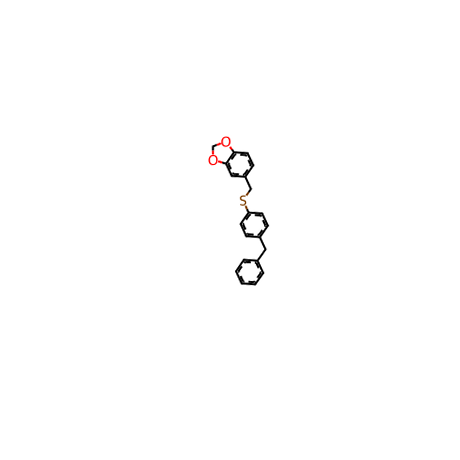 c1ccc(Cc2ccc(SCc3ccc4c(c3)OCO4)cc2)cc1